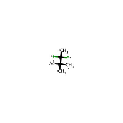 CC(=O)C(C)(C)C(C)(F)F